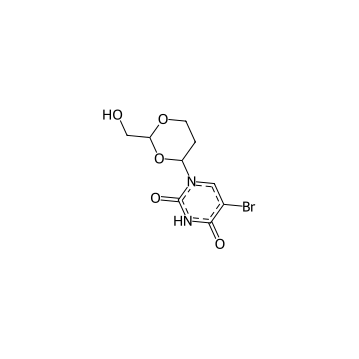 O=c1[nH]c(=O)n(C2CCOC(CO)O2)cc1Br